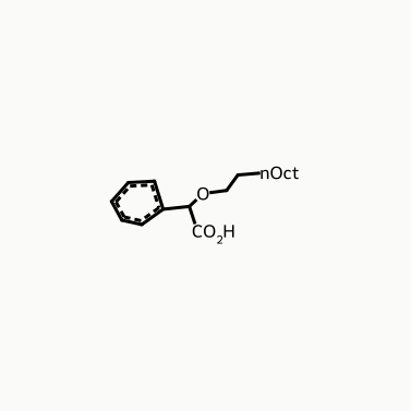 CCCCCCCCCCOC(C(=O)O)c1ccccc1